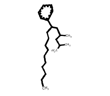 [CH2]C(C)CC(C)CC(CCCCCCCCCC)c1ccccc1